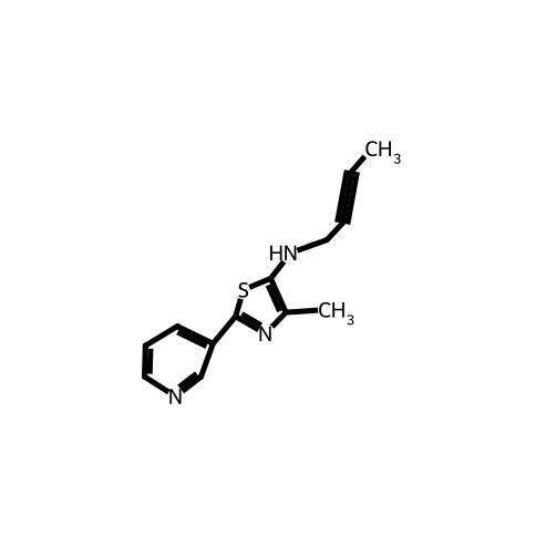 CC#CCNc1sc(-c2cccnc2)nc1C